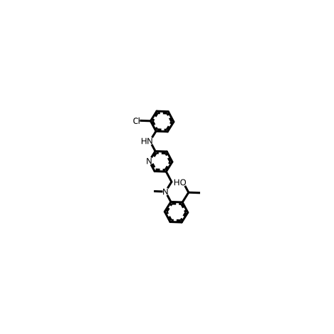 CC(O)c1ccccc1N(C)Cc1ccc(Nc2ccccc2Cl)nc1